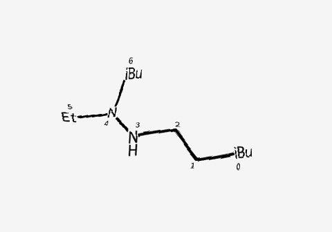 CCC(C)CCNN(CC)C(C)CC